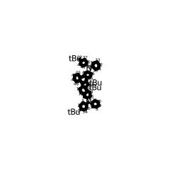 CC(C)(C)c1ccc(N(c2ccccc2)c2ccc3c4c(ccc3c2)-c2c(c3ccc(N(c5ccccc5)c5ccc(C(C)(C)C)cc5)cc3c3ccccc23)C4(C(C)(C)C)C(C)(C)C)cc1